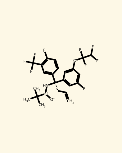 C=CC[C@@](N[S+]([O-])C(C)(C)C)(c1cc(F)cc(OC(F)(F)C(F)F)c1)c1ccc(F)c(C(F)(F)F)c1